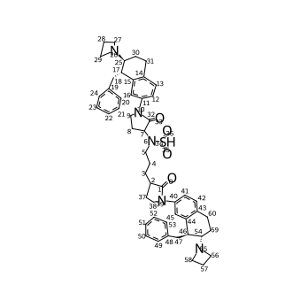 O=C1C(CCCN(C2CCN(c3ccc4c(c3)[C@H](Cc3ccccc3)[C@@H](N3CCC3)CC4)C2=O)[SH](=O)=O)CCN1c1ccc2c(c1)[C@H](Cc1ccccc1)[C@@H](N1CCC1)CC2